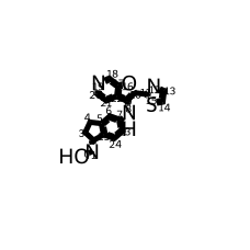 ON=C1CCc2cc(Nc3c(-c4nccs4)oc4cnccc34)ccc21